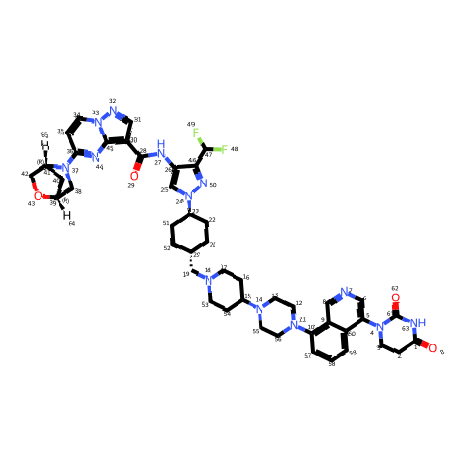 O=C1CCN(c2cncc3c(N4CCN(C5CCN(C[C@H]6CC[C@H](n7cc(NC(=O)c8cnn9ccc(N%10C[C@H]%11C[C@@H]%10CO%11)nc89)c(C(F)F)n7)CC6)CC5)CC4)cccc23)C(=O)N1